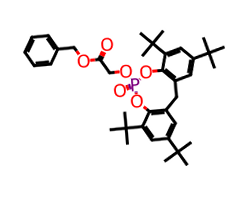 CC(C)(C)c1cc2c(c(C(C)(C)C)c1)OP(=O)(OCC(=O)OCc1ccccc1)Oc1c(cc(C(C)(C)C)cc1C(C)(C)C)C2